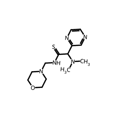 CN(C)C(C(=S)NCN1CCOCC1)c1cnccn1